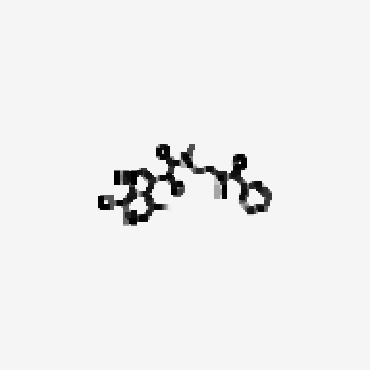 Cc1cnc(Cl)c2[nH]cc(C(=O)C(=O)N(C)CCNC(=O)c3ccccc3)c12